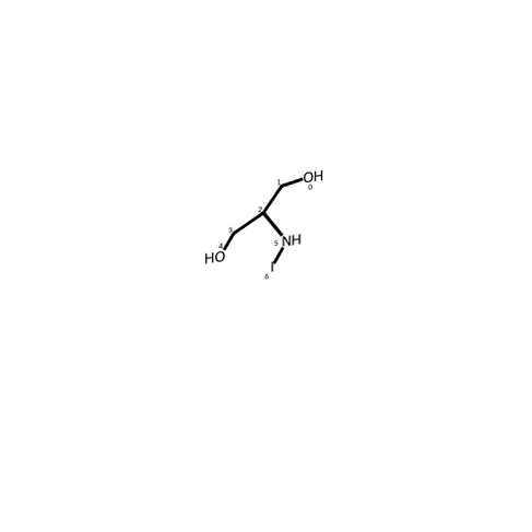 OCC(CO)NI